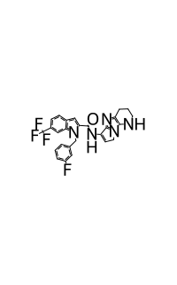 O=C(NC1=CCn2c1nc1c2NCCC1)c1cc2ccc(C(F)(F)F)cc2n1Cc1cccc(F)c1